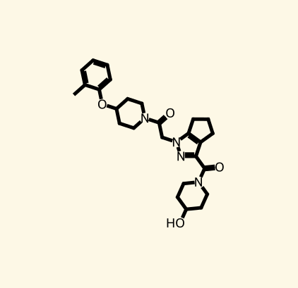 Cc1ccccc1OC1CCN(C(=O)Cn2nc(C(=O)N3CCC(O)CC3)c3c2CCC3)CC1